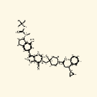 CN(C(=O)OC(C)(C)C)C1CCc2cc(-c3snc4c(=O)n(CC5(O)CCN(C(=O)CC(c6ccccc6)C6CC6)CC5)cnc34)cc(Cl)c21